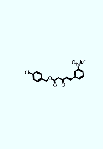 O=C(C=Cc1cccc([N+](=O)[O-])c1)CC(=O)OCc1ccc(Cl)cc1